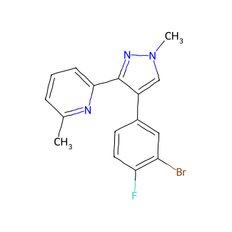 Cc1cccc(-c2nn(C)cc2-c2ccc(F)c(Br)c2)n1